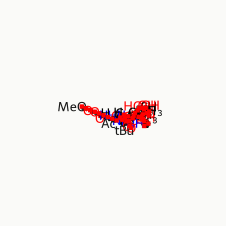 COCCOCCOCCC(=O)NCCCCC(NC(=O)CN(C)CC(=O)O[C@@H](C(=O)O[C@]12C[C@@]3(O)[C@@H](OC(=O)c4ccccc4)[C@@H]4[C@]5(OC(C)=O)CO[C@@H]5C[C@H](O)[C@@]4(C)[C@H](O)[C@H](O)C([C@@H]1C)[C@]32C)[C@@H](NC(=O)OC(C)(C)C)c1ccccc1)C(C)=O